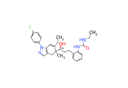 CCNC(=O)Nc1ccccc1CC[C@H](O)C1(C)Cc2cnn(-c3ccc(F)cc3)c2C=C1CC